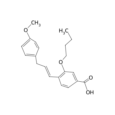 CCCCOc1cc(C(=O)O)ccc1C=CCc1ccc(OC)cc1